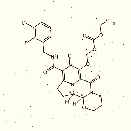 CCOC(=O)OCOc1c2n3c(c(C(=O)NCc4cccc(Cl)c4F)c1=O)CC[C@@H]3[C@@H]1OCCCN1C2=O